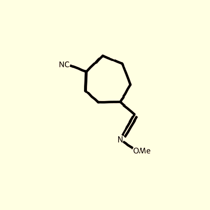 CON=CC1CCCC(C#N)CC1